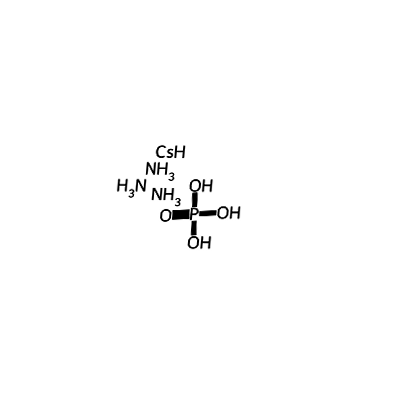 N.N.N.O=P(O)(O)O.[CsH]